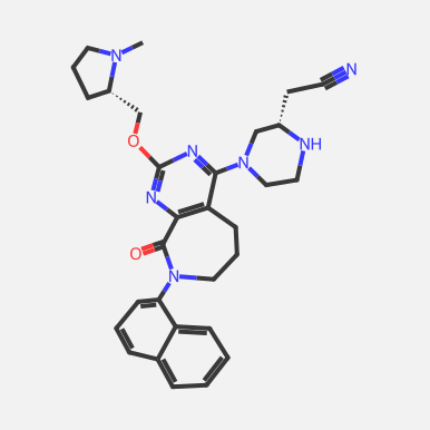 CN1CCC[C@H]1COc1nc2c(c(N3CCN[C@@H](CC#N)C3)n1)CCCN(c1cccc3ccccc13)C2=O